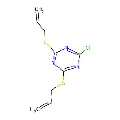 C=CCSc1nc(Cl)nc(SCC=C)n1